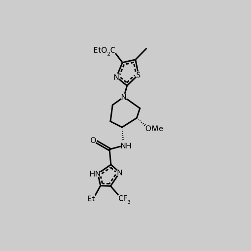 CCOC(=O)c1nc(N2CC[C@@H](NC(=O)c3nc(C(F)(F)F)c(CC)[nH]3)[C@@H](OC)C2)sc1C